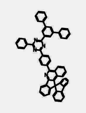 c1ccc(-c2cc(-c3ccccc3)cc(-c3nc(-c4ccccc4)nc(-c4ccc(-c5nc6c(c7ccccc57)C5(c7ccccc7-c7ccccc75)c5ccccc5-6)cc4)n3)c2)cc1